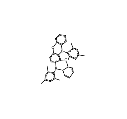 Cc1cc(C)c(B2c3ccccc3Oc3ccc4c(c32)OC2C=CC=CC2B4c2c(C)cc(C)cc2C)c(C)c1